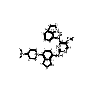 CN(C)C1CCN(c2ccc(Nc3ncc(SF)c(N4SN5CCc6cccc4c65)n3)c3c2CCC3)CC1